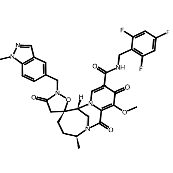 COc1c2n(cc(C(=O)NCc3c(F)cc(F)cc3F)c1=O)[C@@H]1CN(C2=O)[C@@H](C)CC[C@]12CC(=O)N(Cc1ccc3c(cnn3C)c1)O2